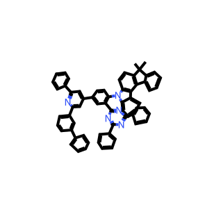 CC1(C)c2ccccc2-c2c1ccc1c2c2ccccc2n1-c1ccc(-c2cc(-c3ccccc3)nc(-c3cccc(-c4ccccc4)c3)c2)cc1-c1nc(-c2ccccc2)nc(-c2ccccc2)n1